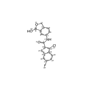 O=C(Nc1ccc2c(c1)B(O)OC2)c1sc2cc(F)ccc2c1Cl